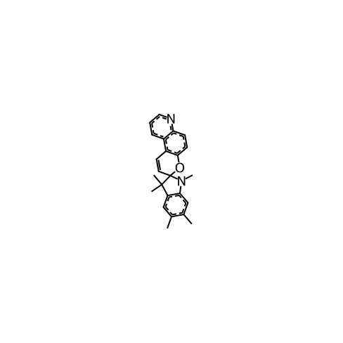 Cc1cc2c(cc1C)C(C)(C)C1(C=Cc3c(ccc4ncccc34)O1)N2C